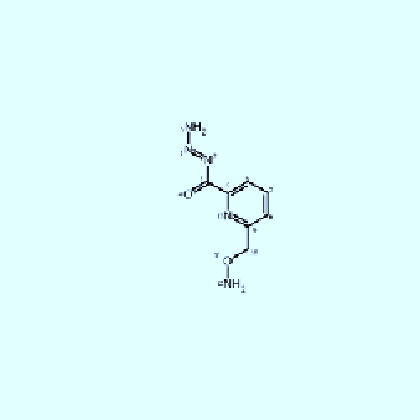 NN=NC(=O)c1cccc(CON)n1